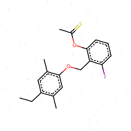 CCc1cc(C)c(OCc2c(I)cccc2OC(C)=S)cc1C